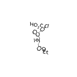 CCOc1cccc(CCNCc2cc(-c3ccc(Cl)c(C(=O)O)c3)c3ccccc3c2)c1